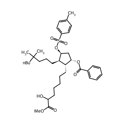 CCCCC(C)(C)CCC[C@@H]1[C@@H](CCCCCC(O)C(=O)OC)[C@@H](OC(=O)c2ccccc2)C[C@@H]1OS(=O)(=O)c1ccc(C)cc1